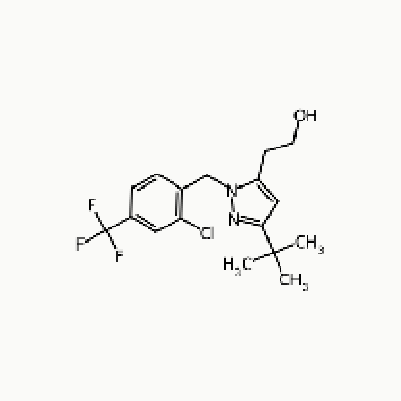 CC(C)(C)c1cc(CCO)n(Cc2ccc(C(F)(F)F)cc2Cl)n1